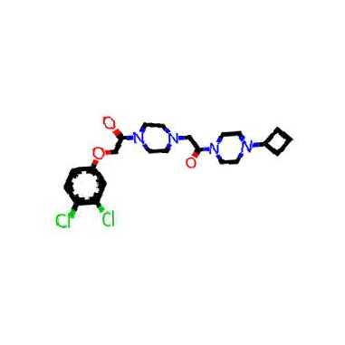 O=C(COc1ccc(Cl)c(Cl)c1)N1CCN(CC(=O)N2CCN(C3CCC3)CC2)CC1